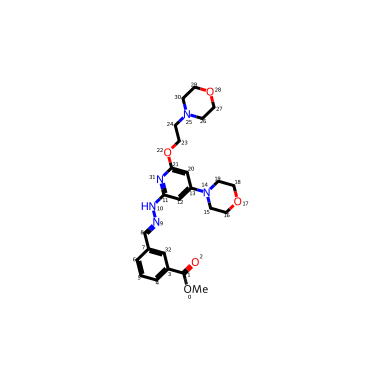 COC(=O)c1cccc(/C=N/Nc2cc(N3CCOCC3)cc(OCCN3CCOCC3)n2)c1